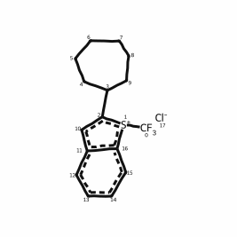 FC(F)(F)[s+]1c(C2CCCCCC2)cc2ccccc21.[Cl-]